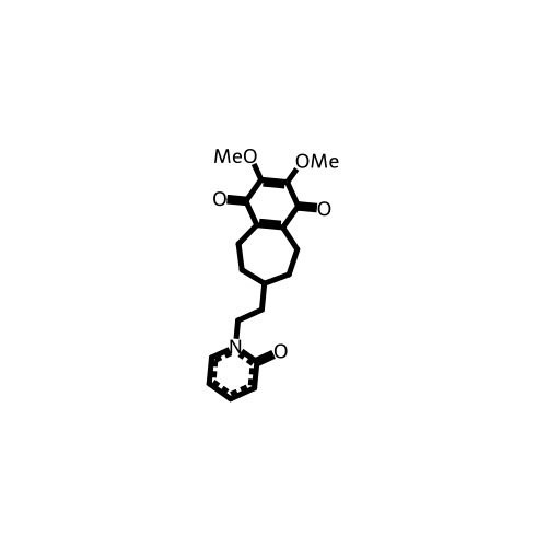 COC1=C(OC)C(=O)C2=C(CCC(CCn3ccccc3=O)CC2)C1=O